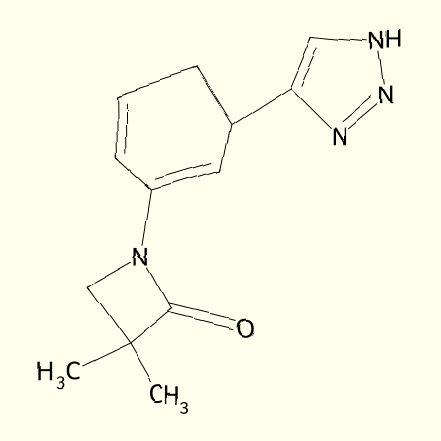 CC1(C)CN(C2=CC(c3c[nH]nn3)CC=C2)C1=O